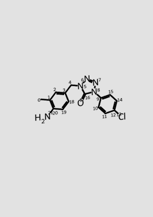 Cc1cc(Cn2nnn(-c3ccc(Cl)cc3)c2=O)ccc1N